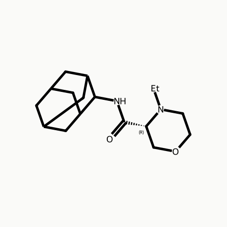 CCN1CCOC[C@@H]1C(=O)NC1C2CC3CC(C2)CC1C3